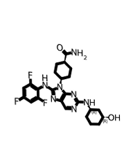 NC(=O)[C@H]1CC[C@@H](n2c(Nc3c(F)cc(F)cc3F)nc3cnc(N[C@@H]4CCC[C@@H](O)C4)nc32)CC1